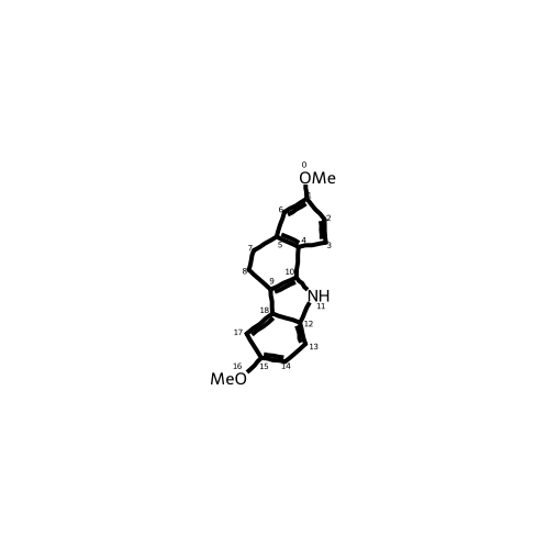 COc1ccc2c(c1)CCc1c-2[nH]c2ccc(OC)cc12